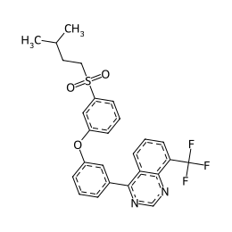 CC(C)CCS(=O)(=O)c1cccc(Oc2cccc(-c3ncnc4c(C(F)(F)F)cccc34)c2)c1